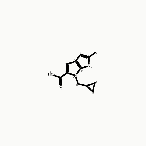 Cc1cc2cc(C(=O)O)n(CC3CC3)c2s1